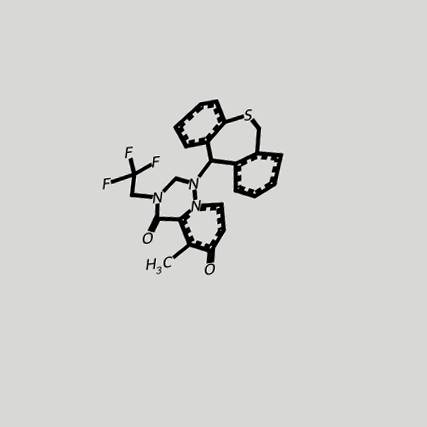 Cc1c2n(ccc1=O)N(C1c3ccccc3CSc3ccccc31)CN(CC(F)(F)F)C2=O